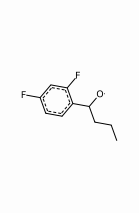 CCCC([O])c1ccc(F)cc1F